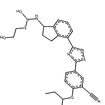 CCC(C)Oc1ccc(-c2nc(-c3cccc4c3CCC4NN(O)SCCO)ns2)cc1C#N